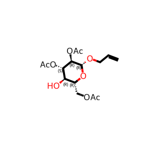 C=CCO[C@@H]1O[C@H](COC(C)=O)[C@@H](O)[C@H](OC(C)=O)[C@H]1OC(C)=O